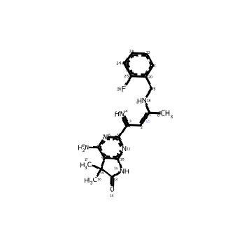 C/C(=C/C(=N)c1nc(N)c2c(n1)NC(=O)C2(C)C)NCc1ccccc1F